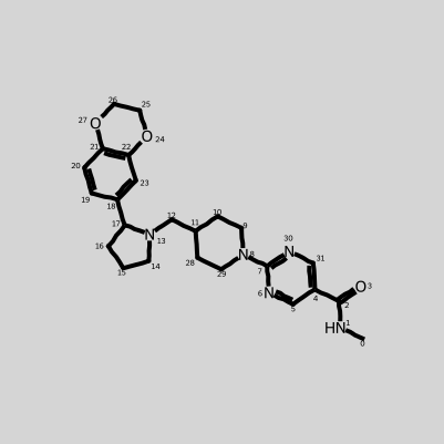 CNC(=O)c1cnc(N2CCC(CN3CCCC3c3ccc4c(c3)OCCO4)CC2)nc1